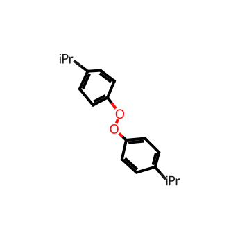 CC(C)c1ccc(OOc2ccc(C(C)C)cc2)cc1